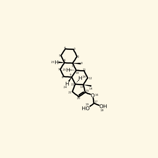 C[C@]12CCCC[C@H]1CC[C@@H]1[C@@H]2CC[C@]2(C)C(OC(O)O)=CC[C@@H]12